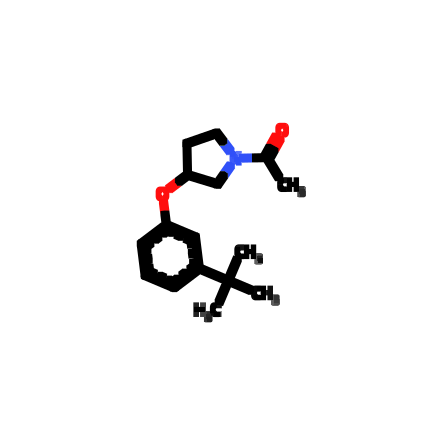 CC(=O)N1CCC(Oc2cccc(C(C)(C)C)c2)C1